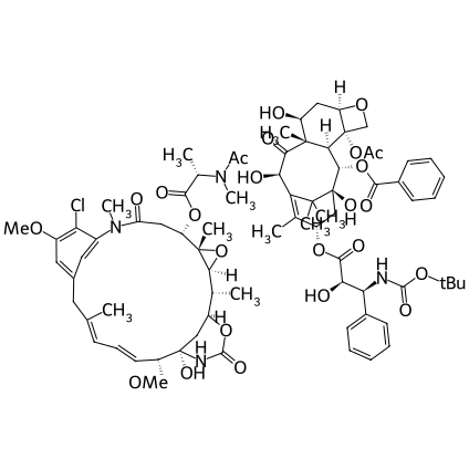 CC(=O)O[C@@]12CO[C@@H]1C[C@H](O)[C@@]1(C)C(=O)[C@H](O)C3=C(C)[C@@H](OC(=O)[C@H](O)[C@@H](NC(=O)OC(C)(C)C)c4ccccc4)C[C@@](O)([C@@H](OC(=O)c4ccccc4)[C@H]21)C3(C)C.COc1cc2cc(c1Cl)N(C)C(=O)C[C@H](OC(=O)[C@H](C)N(C)C(C)=O)[C@]1(C)O[C@H]1[C@H](C)[C@@H]1C[C@@](O)(NC(=O)O1)[C@H](OC)/C=C/C=C(\C)C2